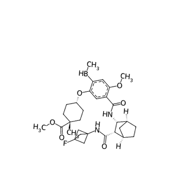 CBc1cc(OC)c(C(=O)N[C@@H]2[C@H]3CC[C@H](C3)[C@@H]2C(=O)NC23CC(F)(C2)C3)cc1O[C@H]1CC[C@@](C)(C(=O)OC)CC1